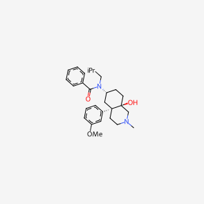 COc1cccc([C@@]23CCN(C)C[C@@]2(O)CC[C@@H](N(CC(C)C)C(=O)c2ccccc2)C3)c1